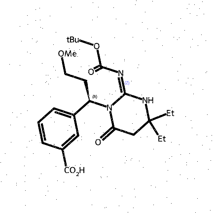 CCC1(CC)CC(=O)N([C@H](CCOC)c2cccc(C(=O)O)c2)/C(=N\C(=O)OC(C)(C)C)N1